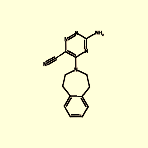 N#Cc1nnc(N)nc1N1CCc2ccccc2CC1